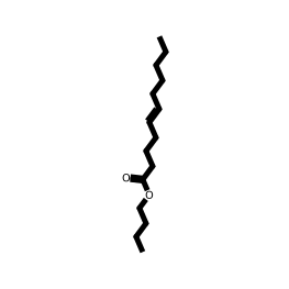 CCCCCC=CCCCC(=O)OCCCC